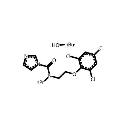 CCCN(CCOc1c(Cl)cc(Cl)cc1Cl)C(=O)n1ccnc1.CCC[CH]O